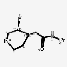 CC(C)NC(=O)C[C@H]1CCNC[C@H]1F